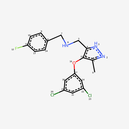 Cc1n[nH]c(CNCc2ccc(F)cc2)c1Oc1cc(Cl)cc(Cl)c1